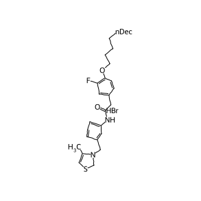 Br.CCCCCCCCCCCCCCOc1ccc(CC(=O)Nc2cccc(CN3CSC=C3C)c2)cc1F